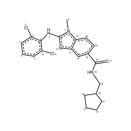 Cn1c(Nc2c(Cl)cccc2Cl)nc2cc(C(=O)NCC3CCCC3)ccc21